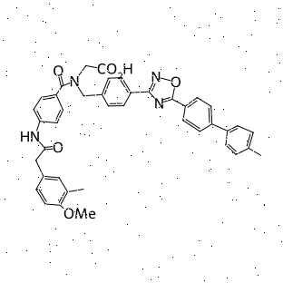 COc1ccc(CC(=O)Nc2ccc(C(=O)N(CC(=O)O)Cc3ccc(-c4noc(-c5ccc(-c6ccc(C)cc6)cc5)n4)cc3)cc2)cc1C